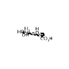 O=C(O)[C@@H]1CCCN1CC(O)COCCC[SiH2]C(O)O